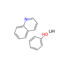 Oc1ccccc1.[LiH].c1ccc2ncccc2c1